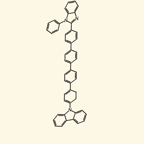 C1=C(c2ccc(-c3ccc(-c4ccc(-c5nc6ccccc6n5-c5ccccc5)cc4)cc3)cc2)CCC(n2c3ccccc3c3ccccc32)=C1